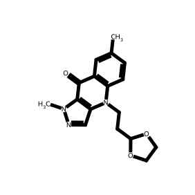 Cc1ccc2c(c1)c(=O)c1c(cnn1C)n2CCC1OCCO1